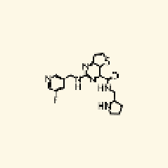 O=C(NC[C@H]1CCCN1)c1nc(NCc2cncc(F)c2)nc2ccsc12